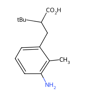 Cc1c(N)cccc1CC(C(=O)O)C(C)(C)C